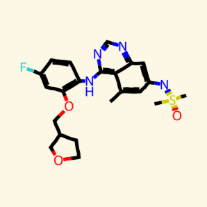 Cc1cc(N=S(C)(C)=O)cc2ncnc(Nc3ccc(F)cc3OCC3CCOC3)c12